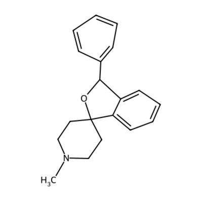 CN1CCC2(CC1)OC(c1ccccc1)c1ccccc12